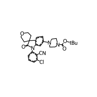 CC(C)(C)OC(=O)N1CCN(c2ccc3c(c2)N(c2cccc(Cl)c2C#N)C(=O)C32CCOCC2)CC1